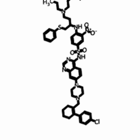 CCCN(CCC)CCC(CSc1ccccc1)Nc1ccc(S(=O)(=O)Nc2ncnc3cc(N4CCN(CC5=C(c6ccc(Cl)cc6)CCCC5)CC4)ccc23)cc1[N+](=O)[O-]